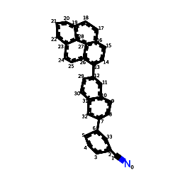 N#Cc1cccc(-c2ccc3cc(-c4ccc5ccc6cccc7ccc4c5c67)ccc3c2)c1